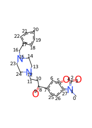 Cn1c(=O)oc2cc(C(=O)CCN3CCN(Cc4ccccc4)CC3)ccc21